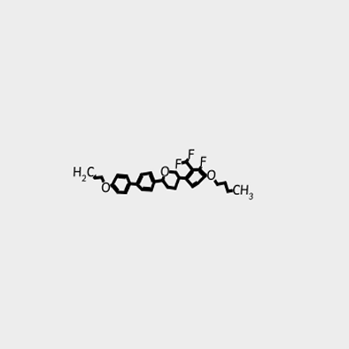 C=CCOc1ccc(-c2ccc(C3CCC(c4ccc(OCCCC)c(F)c4C(F)F)CO3)cc2)cc1